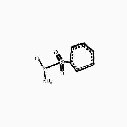 NN(Cl)S(=O)(=O)c1ccccc1